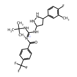 Cc1cc(C2CC(N/C(=N\C(=O)c3ccc(C(F)(F)F)cc3)NC(C)(C)C)NN2)ccc1F